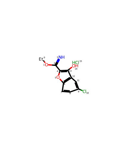 CCOC(=N)c1oc2ccc(Cl)cc2c1O.Cl